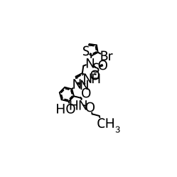 CCCONC(=O)c1c(O)cccc1-n1cc(CN(c2sccc2Br)[SH](=O)=O)nn1